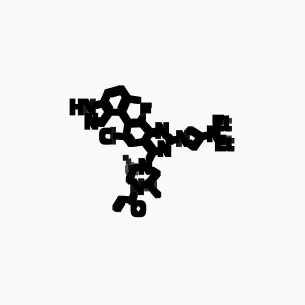 C=CC(=O)N1C[C@H](C)N(c2nc(N3CC(N(CC)CC)C3)nc3c(F)c(-c4c(C)ccc5[nH]ncc45)c(Cl)cc23)C[C@H]1C